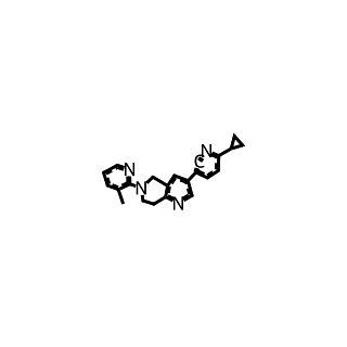 Cc1cccnc1N1CCc2ncc(-c3ccc(C4CC4)nc3)cc2C1